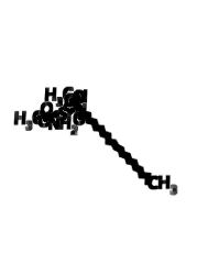 CCCCCCCCCCCCCCCCCCCCCC(=O)N[C@@H](CSSCC(N)C(=O)OC)C(=O)OC